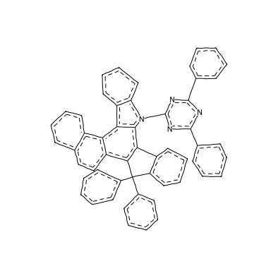 c1ccc(-c2nc(-c3ccccc3)nc(-n3c4ccccc4c4c5c(ccc6ccccc65)c5c(c43)-c3ccccc3C5(c3ccccc3)c3ccccc3)n2)cc1